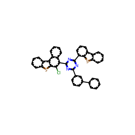 Clc1c(-c2nc(-c3cccc(-c4ccccc4)c3)nc(-c3cccc4c3sc3ccccc34)n2)c2ccccc2c2c1sc1ccccc12